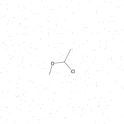 [CH2]C(Cl)OC